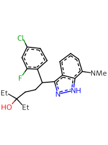 CCC(O)(CC)CCC(c1ccc(Cl)cc1F)c1n[nH]c2c(NC)cccc12